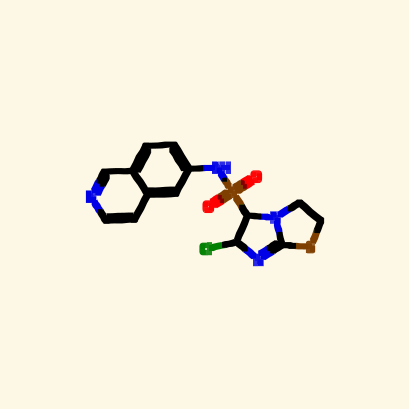 O=S(=O)(Nc1ccc2cnccc2c1)C1C(Cl)N=C2SCCN21